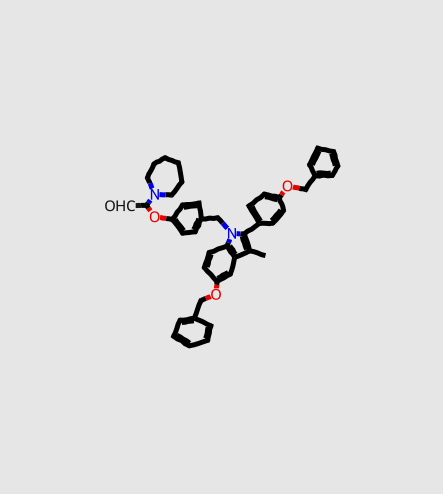 Cc1c(-c2ccc(OCc3ccccc3)cc2)n(Cc2ccc(OC(C=O)N3CCCCCC3)cc2)c2ccc(OCc3ccccc3)cc12